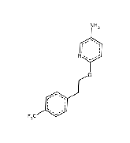 Nc1ccc(OCCc2ccc(C(F)(F)F)cc2)nc1